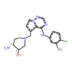 Cc1cc(Nc2ncnn3ccc(CN4CC[C@@H](N)[C@H](O)C4)c23)ccc1F